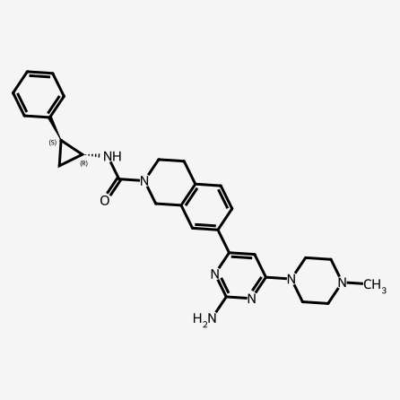 CN1CCN(c2cc(-c3ccc4c(c3)CN(C(=O)N[C@@H]3C[C@H]3c3ccccc3)CC4)nc(N)n2)CC1